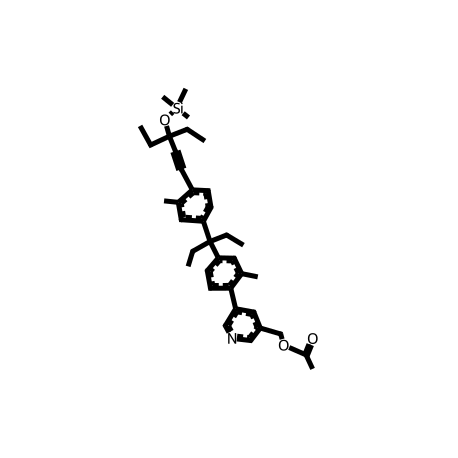 CCC(C#Cc1ccc(C(CC)(CC)c2ccc(-c3cncc(COC(C)=O)c3)c(C)c2)cc1C)(CC)O[Si](C)(C)C